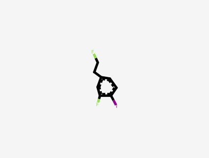 FCCc1ccc(I)c(F)c1